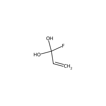 C=CC(O)(O)F